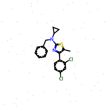 Cc1sc(N(Cc2ccccc2)C2CC2)nc1-c1ccc(Cl)cc1Cl